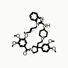 C/C=C/Cn1c(NC2CCN(CCC3(c4ccc(OC)c(OC)c4)CCN(C(=O)c4cc(OC)c(OC)c(OC)c4)C3)CC2)nc2ccccc21